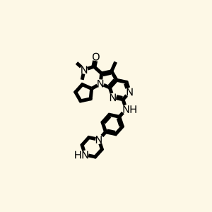 Cc1c(C(=O)N(C)C)n(C2CCCC2)c2nc(Nc3ccc(N4CCNCC4)cc3)ncc12